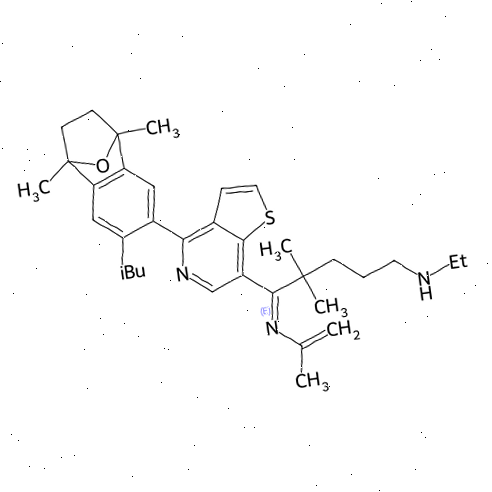 C=C(C)/N=C(/c1cnc(-c2cc3c(cc2C(C)CC)C2(C)CCC3(C)O2)c2ccsc12)C(C)(C)CCCNCC